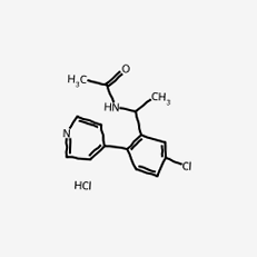 CC(=O)NC(C)c1cc(Cl)ccc1-c1ccncc1.Cl